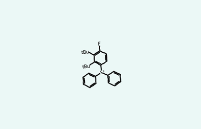 CC(C)(C)c1c(F)ccc([S+](c2ccccc2)c2ccccc2)c1C(C)(C)C